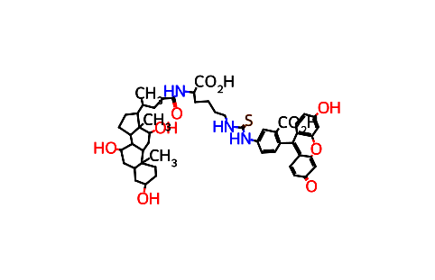 CC(CCC(=O)NC(CCCCNC(=S)Nc1ccc(-c2c3ccc(=O)cc-3oc3cc(O)ccc23)c(C(=O)O)c1)C(=O)O)C1CCC2C3C(O)CC4CC(O)CCC4(C)C3CC(O)C12C